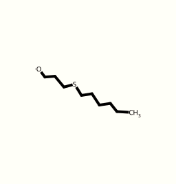 CCCCCCSCCC[O]